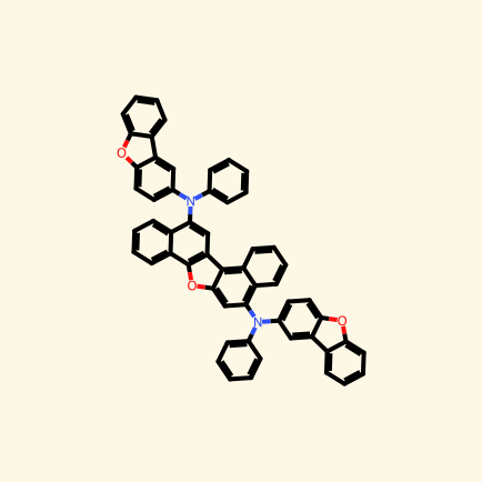 c1ccc(N(c2ccc3oc4ccccc4c3c2)c2cc3c(oc4cc(N(c5ccccc5)c5ccc6oc7ccccc7c6c5)c5ccccc5c43)c3ccccc23)cc1